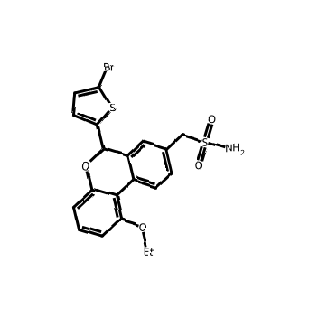 CCOc1cccc2c1-c1ccc(CS(N)(=O)=O)cc1C(c1ccc(Br)s1)O2